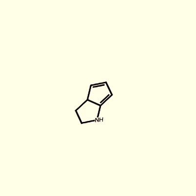 C1=CC2CCNC2=C1